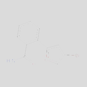 NC(=O)c1ccccc1-c1cc(Br)co1